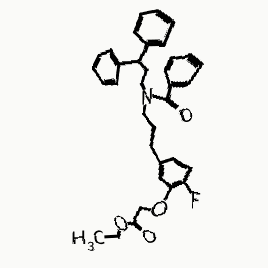 CCOC(=O)COc1cc(CCCN(CCC(c2ccccc2)c2ccccc2)C(=O)c2ccccc2)ccc1F